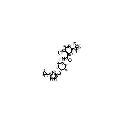 O=C(N[C@H]1CC[C@H](Cn2nnc(C3CC3)n2)CC1)c1cc(C(F)(F)F)ccc1Cl